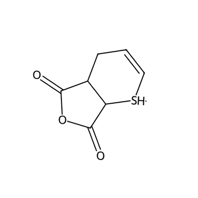 O=C1OC(=O)C2[SH]C=CCC12